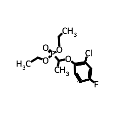 CCOP(=O)(OCC)C(C)Oc1c[c]c(F)cc1Cl